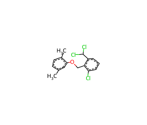 Cc1ccc(C)c(OCc2c(Cl)cccc2C(Cl)Cl)c1